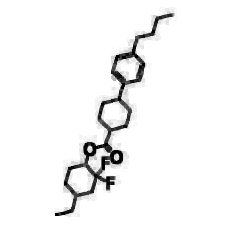 CCCCc1ccc(C2CCC(C(=O)OC3CCC(CC)CC3(F)F)CC2)cc1